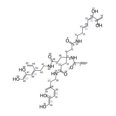 C#CC(=O)NC(CCC(=O)NCC/C=C/C=C(/O)C(=C)O)(CCC(=O)NCCC(=C)/C=C\C(O)=C\O)CCC(=O)NCC/C(C=C)=C/C(O)=C/O